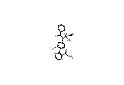 Cc1cc(N(C(=O)c2ccccc2)C(C)(C)C#N)ccc1-c1nccnc1C(N)=O